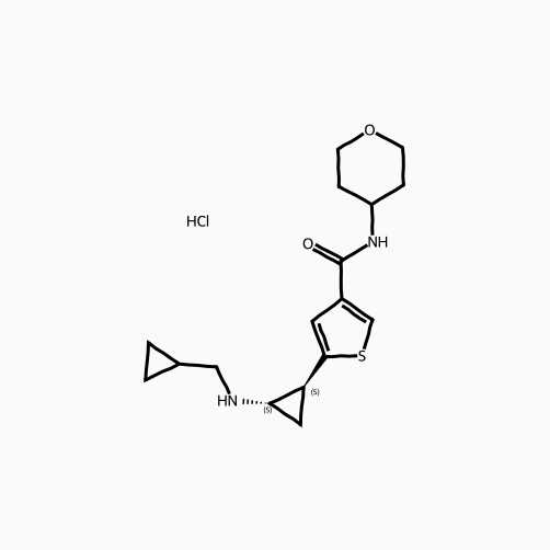 Cl.O=C(NC1CCOCC1)c1csc([C@H]2C[C@@H]2NCC2CC2)c1